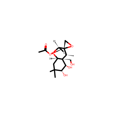 CC(=O)O[C@@H]1C[C@]2(C)[C@@]3(CO)[C@H](O)[C@H](O)C(C)(C)C[C@H]3O[C@H]1[C@@]21CO1